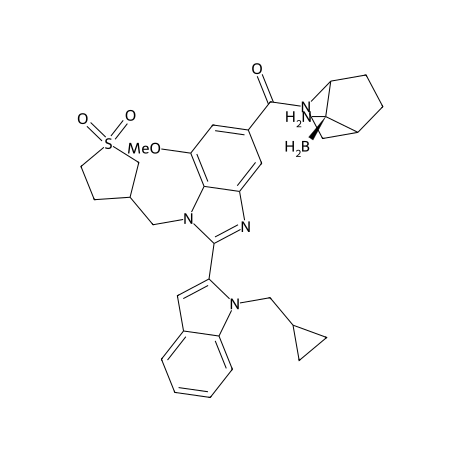 B[C@]1(N)C2CCC1N(C(=O)c1cc(OC)c3c(c1)nc(-c1cc4ccccc4n1CC1CC1)n3CC1CCS(=O)(=O)C1)C2